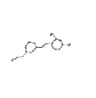 O=CCc1cccc(/C=C/c2ccc(Cl)cc2Br)c1